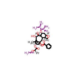 CC(=O)O[C@@]12CO[C@@H]1C[C@H](OP(P(P)P)P(P)P)[C@@]1(C)C(=O)[C@H](O)C3=C(C)[C@@H](OC(=O)[C@H](OPP)C(C)C)C[C@@](O)([C@@H](OC(=O)c4ccccc4)C12)C3(C)C